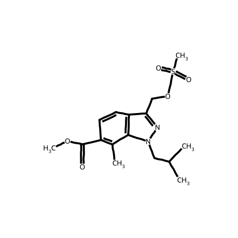 COC(=O)c1ccc2c(COS(C)(=O)=O)nn(CC(C)C)c2c1C